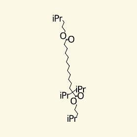 CC(C)CCCOC(=O)CCCCCCCCCCCC(C(=O)OCCCC(C)C)(C(C)C)C(C)C